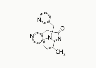 CC1=CC=CN2C1=NC(=O)C2(Cc1cccnc1)Cc1cccnc1